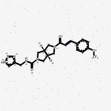 O=C(/C=C/c1ccc(OC(F)(F)F)cc1)N1C[C@@H]2CN(C(=O)NCc3c[nH]nn3)C[C@@H]2C1